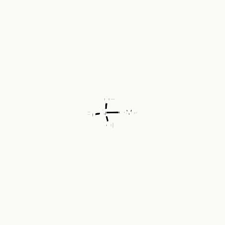 CC[Si](O)(O)OC